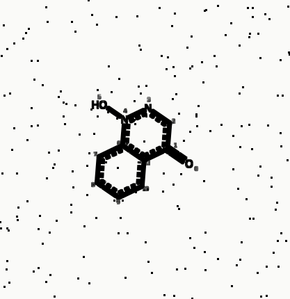 O=c1cnn(O)c2ccccc12